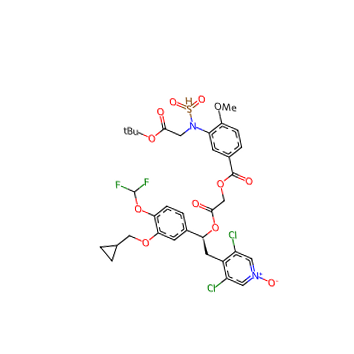 COc1ccc(C(=O)OCC(=O)O[C@@H](Cc2c(Cl)c[n+]([O-])cc2Cl)c2ccc(OC(F)F)c(OCC3CC3)c2)cc1N(CC(=O)OC(C)(C)C)[SH](=O)=O